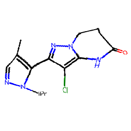 Cc1cnn(C(C)C)c1-c1nn2c(c1Cl)NC(=O)CC2